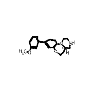 COc1cccc(-c2ccc3c(c2)OCC[C@H]2CNCCN32)c1